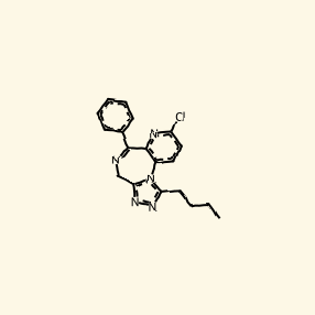 CCCCc1nnc2n1-c1ccc(Cl)nc1C(c1ccccc1)=NC2